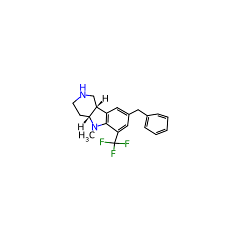 CN1c2c(cc(Cc3ccccc3)cc2C(F)(F)F)[C@H]2CNCC[C@H]21